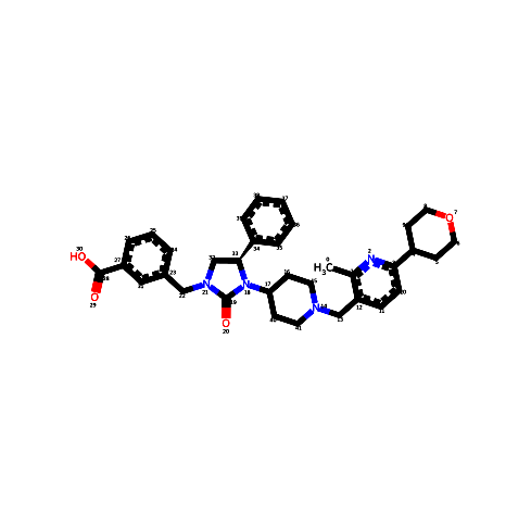 Cc1nc(C2CCOCC2)ccc1CN1CCC(N2C(=O)N(Cc3cccc(C(=O)O)c3)C[C@H]2c2ccccc2)CC1